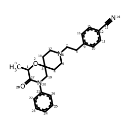 CC1OC2(CCN(CCc3ccc(C#N)cc3)CC2)CN(c2ccccc2)C1=O